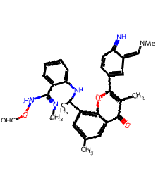 C/N=C(\NOC=O)c1ccccc1NC(C)c1cc(C)cc2c(=O)c(C)c(C3=C/C(=C/NC)C(=N)C=C3)oc12